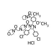 CCOc1cc(C)c([S+]([O-])N2CCCC2)cc1C1=N[C@@H](c2ccc(Cl)cc2)[C@@H](c2ccc(Cl)cc2)N1C(=O)N1CCN(CC(=O)N2CCOCC2)CC1.Cl